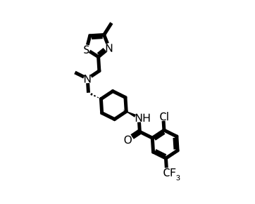 Cc1csc(CN(C)C[C@H]2CC[C@H](NC(=O)c3cc(C(F)(F)F)ccc3Cl)CC2)n1